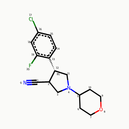 N#CC1CN(C2CCOCC2)C[C@H]1c1ccc(Cl)cc1F